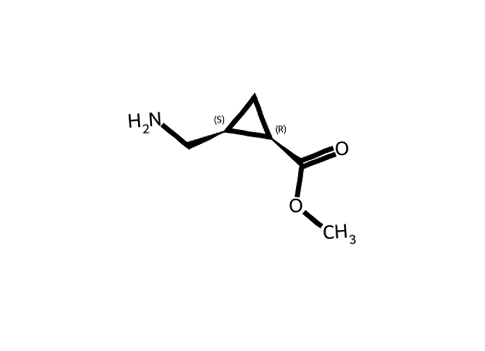 COC(=O)[C@@H]1C[C@@H]1CN